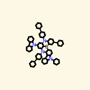 c1ccc(-c2ccc(N3c4ccc(-c5ccccc5)cc4B4c5ccc6c(c5N(c5ccc(-c7ccccc7)cc5)c5cc(-n7c8ccccc8c8ccccc87)cc3c54)c3ccccc3n6-c3ccccc3)cc2)cc1